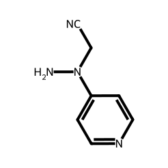 N#CCN(N)c1ccncc1